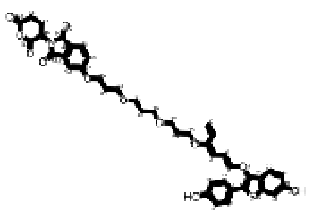 C=C/C(=C\C=C\Oc1c(-c2ccc(O)cc2)sc2cc(O)ccc12)OCCCOCCCOCCCOc1ccc2c(c1)C(=O)N(C1CCC(=O)OC1=O)C2=O